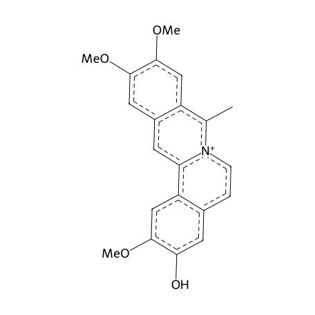 COc1cc2c(cc[n+]3c(C)c4cc(OC)c(OC)cc4cc23)cc1O